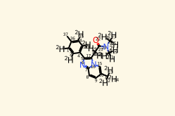 [2H]c1c([2H])c(-c2nc3ccc(C([2H])([2H])[2H])cn3c2C([2H])([2H])C(=O)N(C([2H])([2H])[2H])C([2H])([2H])[2H])c([2H])c([2H])c1C